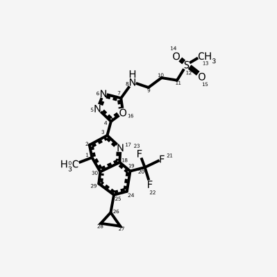 Cc1cc(-c2nnc(NCCCS(C)(=O)=O)o2)nc2c(C(F)(F)F)cc(C3CC3)cc12